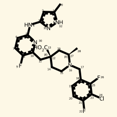 Cc1cc(Nc2ccc(F)c(C[C@@]3(C(=O)O)CCN(Cc4ccc(F)c(Cl)c4F)[C@H](C)C3)n2)n[nH]1